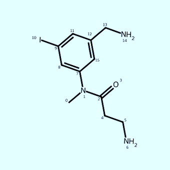 CN(C(=O)CCN)c1cc(I)cc(CN)c1